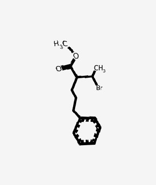 COC(=O)C(CCCc1ccccc1)C(C)Br